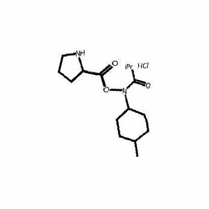 CC1CCC(N(OC(=O)C2CCCN2)C(=O)C(C)C)CC1.Cl